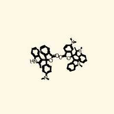 Cc1[nH]c2ccccc2c1C1(c2ccc(N(C)C)cc2)OC(=O)c2ccccc21.Cc1c(C2(c3c(C)n(C)c4ccccc34)OC(=O)c3ccc(N(C)C)cc32)c2ccccc2n1C